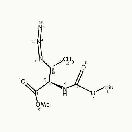 COC(=O)[C@H](NC(=O)OC(C)(C)C)[C@@H](C)N=[N+]=[N-]